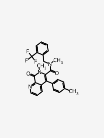 Cc1ccc(-c2c(C(=O)N(C)Cc3ccccc3C(F)(F)F)n(C)c(=O)c3ncccc23)cc1